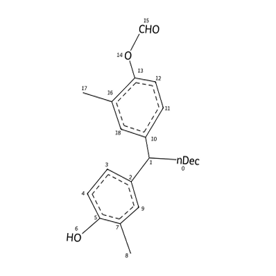 CCCCCCCCCCC(c1ccc(O)c(C)c1)c1ccc(OC=O)c(C)c1